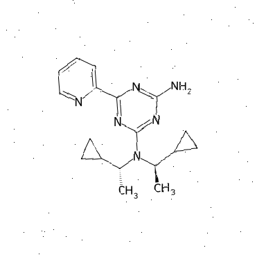 C[C@H](C1CC1)N(c1nc(N)nc(-c2ccccn2)n1)[C@H](C)C1CC1